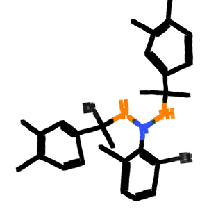 CCc1cccc(C)c1N(PC(C)(C)c1ccc(C)c(C)c1)PC(C)(CC)c1ccc(C)c(C)c1